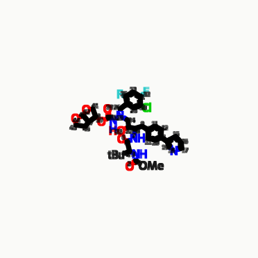 COC(=O)NC(C(=O)NC(Cc1ccc(-c2cccnc2)cc1)C(O)CN(Cc1cc(Cl)c(F)cc1F)NC(=O)OC1COC2OCCC12)C(C)(C)C